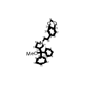 COC(c1ccccc1)(c1ccccc1)C1CCN(CCc2ccc3c(c2)OCO3)C1